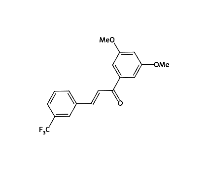 COc1cc(OC)cc(C(=O)C=Cc2cccc(C(F)(F)F)c2)c1